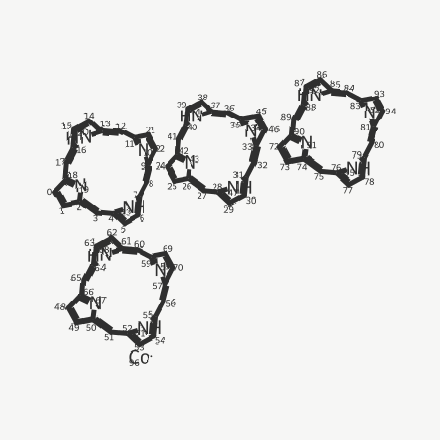 C1=Cc2cc3ccc(cc4nc(cc5ccc(cc1n2)[nH]5)C=C4)[nH]3.C1=Cc2cc3ccc(cc4nc(cc5ccc(cc1n2)[nH]5)C=C4)[nH]3.C1=Cc2cc3ccc(cc4nc(cc5ccc(cc1n2)[nH]5)C=C4)[nH]3.C1=Cc2cc3ccc(cc4nc(cc5ccc(cc1n2)[nH]5)C=C4)[nH]3.[Co]